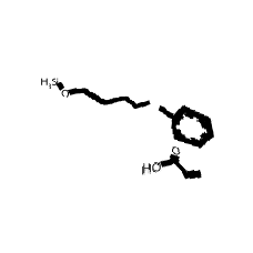 C=CC(=O)O.CCCCCO[SiH3].Cc1ccccc1